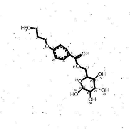 CCCCOc1ccc(C(=O)OCC2O[C@H](O)C(O)[C@@H](O)[C@@H]2O)cc1